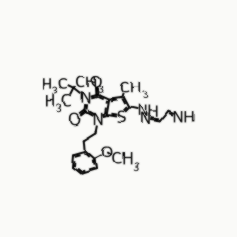 COc1ccccc1CCn1c(=O)n(C(C)(C)C)c(=O)c2c(C)c(N/N=C\C=N)sc21